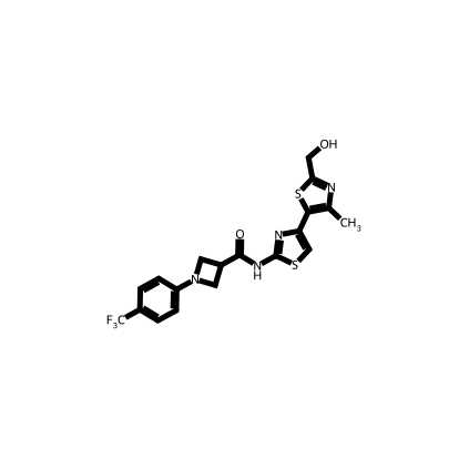 Cc1nc(CO)sc1-c1csc(NC(=O)C2CN(c3ccc(C(F)(F)F)cc3)C2)n1